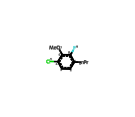 [CH2]CCc1ccc(Cl)c(OC)c1F